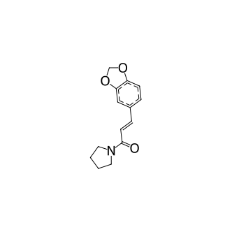 O=C(C=Cc1ccc2c(c1)OCO2)N1CCCC1